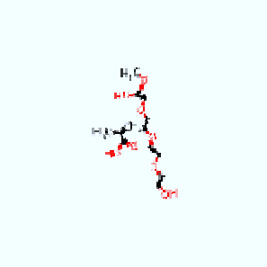 C=C(C)C(=O)O.COC(O)COCCOCCOCCO